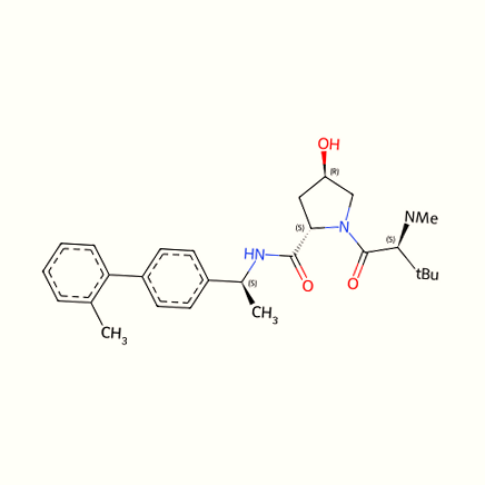 CN[C@H](C(=O)N1C[C@H](O)C[C@H]1C(=O)N[C@@H](C)c1ccc(-c2ccccc2C)cc1)C(C)(C)C